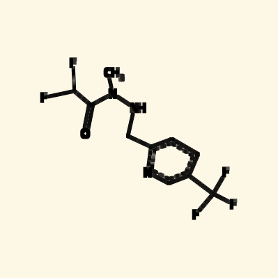 CN(NCc1ccc(C(F)(F)F)cn1)C(=O)C(F)F